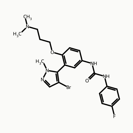 CN(C)CCCOc1ccc(NC(=O)Nc2ccc(F)cc2)cc1-c1c(Br)cnn1C